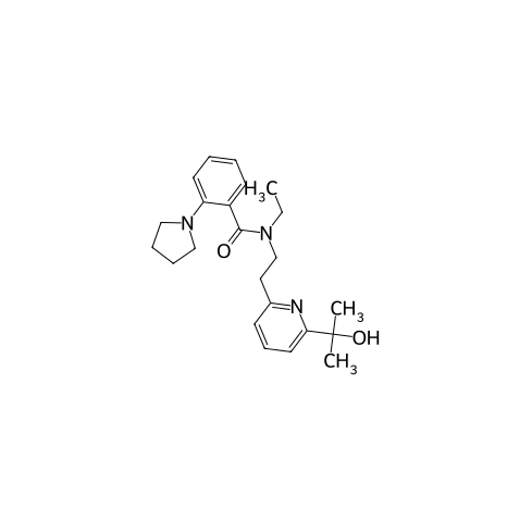 CCN(CCc1cccc(C(C)(C)O)n1)C(=O)c1ccccc1N1CCCC1